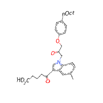 CCCCCCCCc1ccc(OCC(=O)Cn2cc(C(=O)CCCC(=O)O)c3cc(C)ccc32)cc1